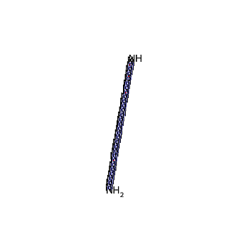 N=N/N=N/N=N/N=N/N=N/N=N/N=N/N=N/N=N/N=N/N=N/N=N/N=N/N=N/N=N/N=N/N=N/N=N/N=N/N=N/N=N/N=N/N=N/N=N/N=N/N=N/N=N/N=N/N=N/N